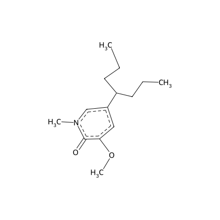 CCCC(CCC)c1cc(OC)c(=O)n(C)c1